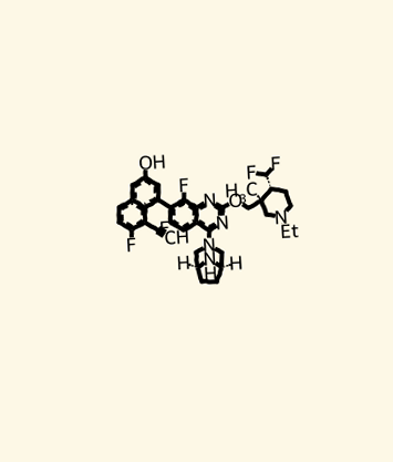 C#Cc1c(F)ccc2cc(O)cc(-c3c(F)cc4c(N5C[C@H]6CC[C@@H](C5)N6)nc(OC[C@]5(C)CN(CC)CC[C@H]5C(F)F)nc4c3F)c12